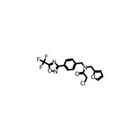 O=C(CCl)N(Cc1ccc(-c2noc(C(F)(F)F)n2)cc1)Cc1ccco1